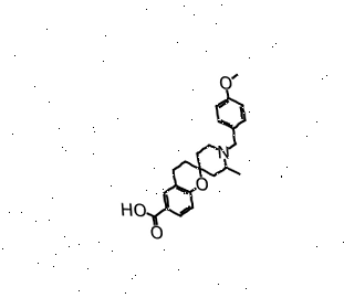 COc1ccc(CN2CCC3(CCc4cc(C(=O)O)ccc4O3)CC2C)cc1